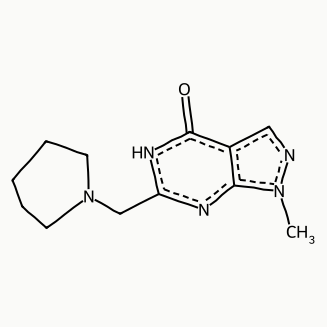 Cn1ncc2c(=O)[nH]c(CN3CCCCC3)nc21